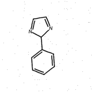 C1=NC(c2ccccc2)N=C1